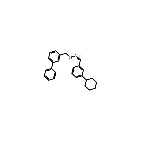 [C](=N/OCc1cccc(-c2ccccc2)c1)/c1cccc(C2CCCCC2)c1